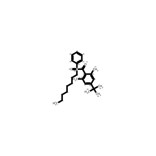 CCCCCCCCP(=O)(C(=O)c1c(C)cc(C(C)(C)C)cc1C)c1ccccc1